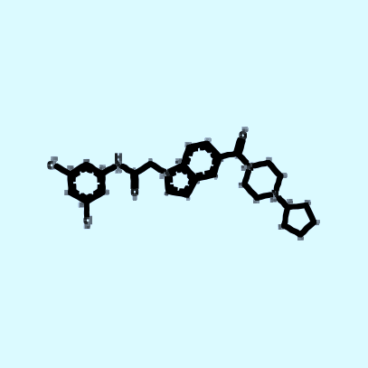 O=C(Cn1ccc2cc(C(=O)N3CCN(C4CCCC4)CC3)ccc21)Nc1cc(Cl)cc(Cl)c1